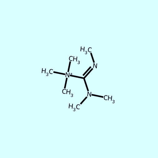 CN=C(N(C)C)[N+](C)(C)C